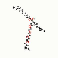 CCCCCCCCCCOC(=O)C(CCCCCC)CCOCCOCCOCCOCCCC